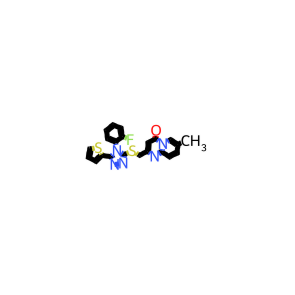 Cc1ccc2nc(CSc3nnc(-c4cccs4)n3-c3ccccc3F)cc(=O)n2c1